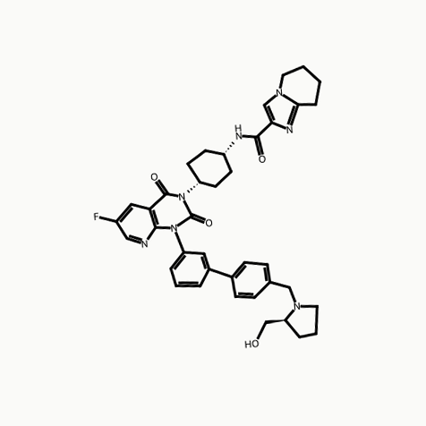 O=C(N[C@H]1CC[C@@H](n2c(=O)c3cc(F)cnc3n(-c3cccc(-c4ccc(CN5CCC[C@H]5CO)cc4)c3)c2=O)CC1)c1cn2c(n1)CCCC2